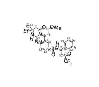 CCC1(CC)CC(=O)N([C@H](CCOC)c2cccc(C(=O)N[C@H]3CC(C(F)(F)F)Oc4ccccc43)c2)C(=N)N1